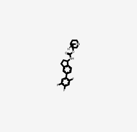 O=C(NC1CCc2cc(-c3cc(F)c(F)cc3F)ccc21)O[C@H]1CN2CCC1CC2